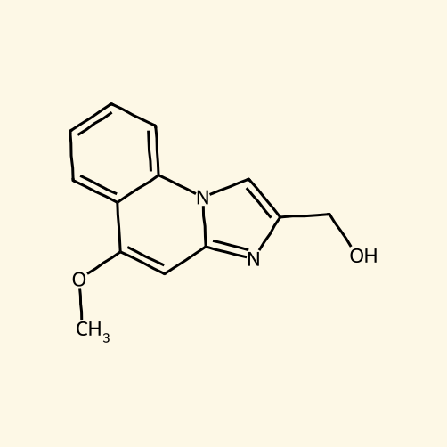 COc1cc2nc(CO)cn2c2ccccc12